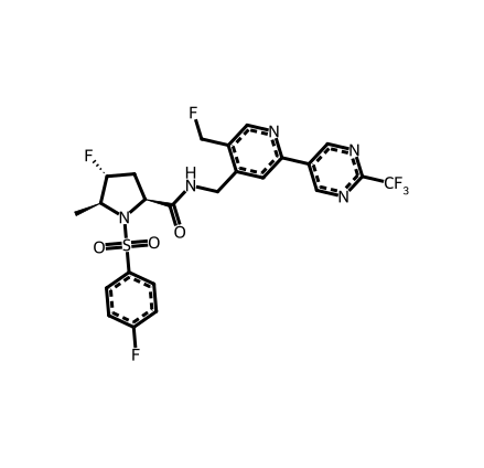 C[C@H]1[C@H](F)C[C@@H](C(=O)NCc2cc(-c3cnc(C(F)(F)F)nc3)ncc2CF)N1S(=O)(=O)c1ccc(F)cc1